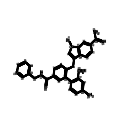 CCn1cc(Cc2ccc(C(=O)NCc3cccnc3)cc2-c2ccc(C)cc2C(=O)O)c2ccc(C(=N)N)cc21